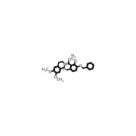 COc1cc2c(cc1OC)[C@H](Cc1ccc(OCc3ccccc3)c(OC)c1CCl)NCC2